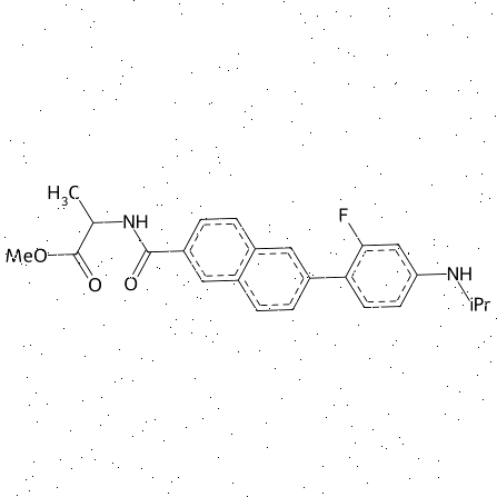 COC(=O)C(C)NC(=O)c1ccc2cc(-c3ccc(NC(C)C)cc3F)ccc2c1